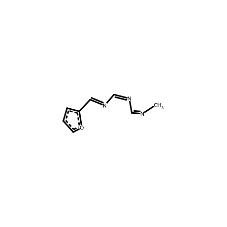 C\N=C/N=C\N=C\c1ccco1